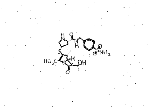 C[C@@H](O)[C@H]1C(=O)N2C(C(=O)O)=C(S[C@@H]3CN[C@H](C(=O)NCc4ccc(S(N)(=O)=O)cc4)C3)[C@H](C)[C@H]12